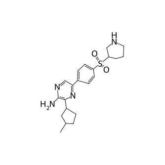 CC1CCC(c2nc(-c3ccc(S(=O)(=O)C4CCCNC4)cc3)cnc2N)C1